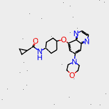 O=C(NC1CCC(Oc2cc(N3CCOCC3)cc3nccnc23)CC1)C1CC1